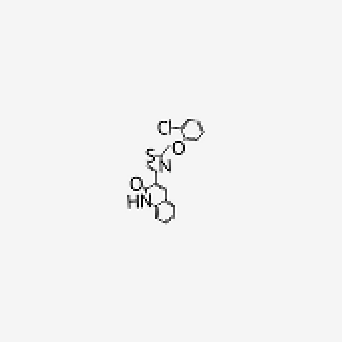 O=c1[nH]c2ccccc2cc1-c1csc(COc2ccccc2Cl)n1